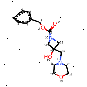 O=C(OCc1ccccc1)N1CC(O)(CN2CCOCC2)C1